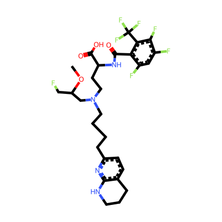 COC(CF)CN(CCCCc1ccc2c(n1)NCCC2)CCC(NC(=O)c1c(F)cc(F)c(F)c1C(F)(F)F)C(=O)O